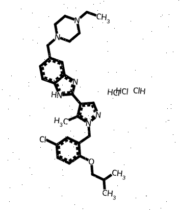 CCN1CCN(Cc2ccc3[nH]c(-c4cnn(Cc5cc(Cl)ccc5OCC(C)C)c4C)nc3c2)CC1.Cl.Cl.Cl